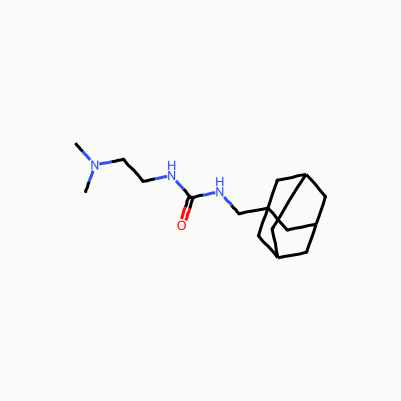 CN(C)CCNC(=O)NCC12CC3CC(CC(C3)C1)C2